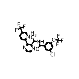 CC(NC(=O)c1cc(Cl)cc(OC(F)(F)F)c1)c1nccnc1-c1ccc(C(F)(F)F)cn1